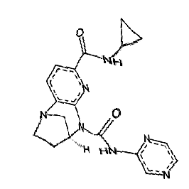 O=C(NC1CC1)c1ccc2c(n1)N(C(=O)Nc1cnccn1)[C@H]1CCN2C1